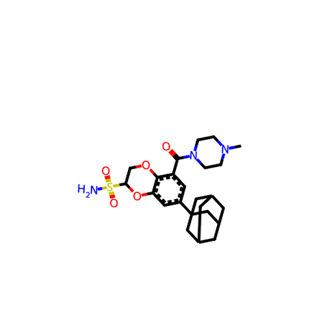 CN1CCN(C(=O)c2cc(C34CC5CC(CC(C5)C3)C4)cc3c2OCC(S(N)(=O)=O)O3)CC1